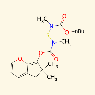 CCCCOC(=O)N(C)SN(C)C(=O)OC1=C2OC=CC=C2CC1(C)C